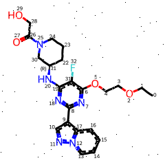 CCOCCOc1nc(-c2cnn3ccccc23)nc(N[C@@H]2CCCN(C(=O)CO)C2)c1F